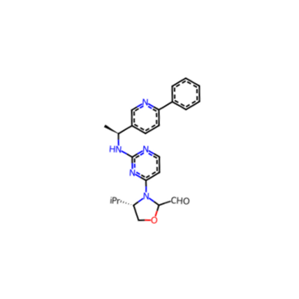 CC(C)[C@H]1COC(C=O)N1c1ccnc(N[C@@H](C)c2ccc(-c3ccccc3)nc2)n1